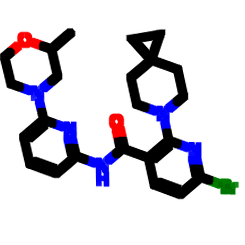 CC1CN(c2cccc(NC(=O)c3ccc(Br)nc3N3CCC4(CC3)CC4)n2)CCO1